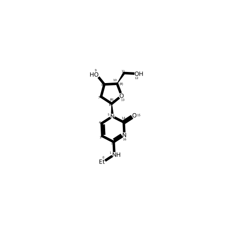 CCNc1ccn([C@H]2CC(O)[C@@H](CO)O2)c(=O)n1